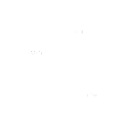 CCCCOc1ccc(NC)c(CO)c1